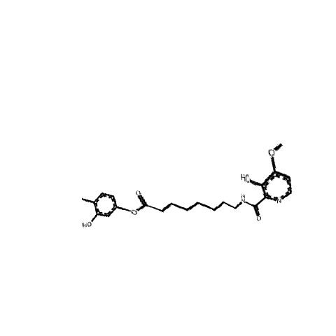 COc1ccnc(C(=O)NCCCCCCCC(=O)Oc2ccc(C)c(O)c2)c1O